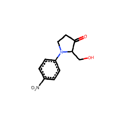 O=C1CCN(c2ccc([N+](=O)[O-])cc2)C1CO